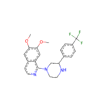 COc1cc2ccnc(N3CCNC(c4ccc(C(F)(F)F)cc4)C3)c2cc1OC